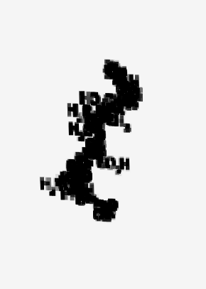 Cc1c(-c2ccc(-c3ccc4c(c3)N(C(=O)Nc3nc5ccccc5s3)CCC4)nc2C(=O)O)cnn1CC12CC3(C)CC(C)(C1)CC(OCCN(CCC(=O)O)C(=O)OCc1ccc(N(C(N)=O)C(=O)[C@H](CCCN)NC(=O)[C@@H](NC(=O)CCCCCN4C(=O)C=CC4=O)C(C)C)cc1)(C3)C2